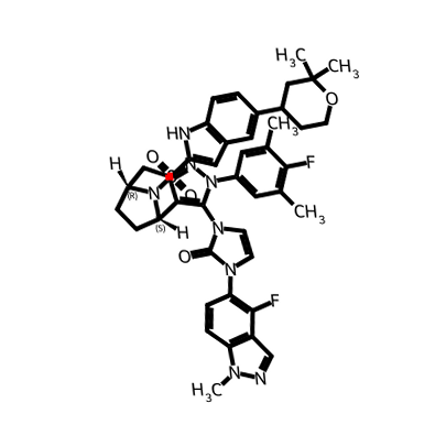 Cc1cc(-n2nc3c(c2-n2ccn(-c4ccc5c(cnn5C)c4F)c2=O)[C@@H]2CC[C@H](C3)N2S(=O)(=O)c2cc3cc(C4CCOC(C)(C)C4)ccc3[nH]2)cc(C)c1F